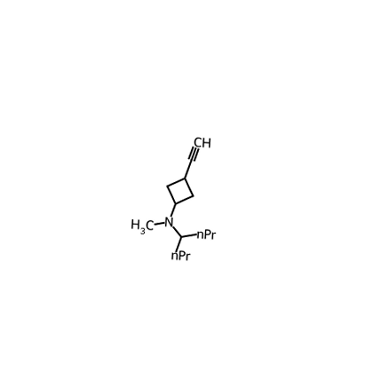 C#CC1CC(N(C)C(CCC)CCC)C1